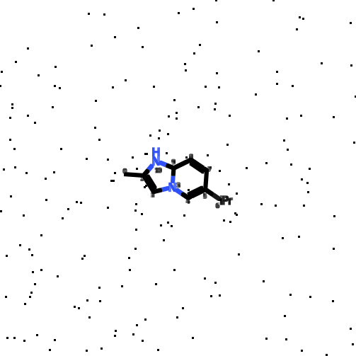 CC1=CN2C=C(C(C)C)C=CC2N1